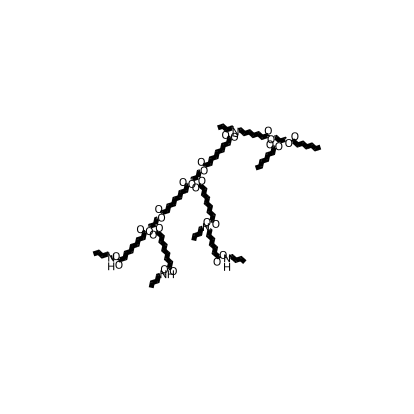 CCCCCCC(=O)OCC(COC(=O)CCCCCCN(CCCC)OC(=O)CCCCCCCC(=O)OCC(COC(=O)CCCCCCCC(=O)OCC(COC(=O)CCCCCCCC(=O)ONCCCC)OC(=O)CCCCCCCC(=O)ONCCCC)OC(=O)CCCCCCCC(=O)ON(CCCC)CCCCCCC(=O)ONCCCC)OC(=O)CCCCCC